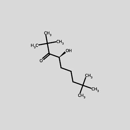 CC(C)(C)CCC[C@H](O)C(=O)C(C)(C)C